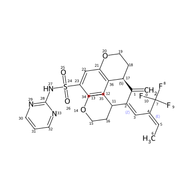 C=C(/C(=C\C(=C/C)C(F)(F)F)C1CCOCC1)[C@@H]1CCOc2cc(S(=O)(=O)Nc3ncccn3)ccc21